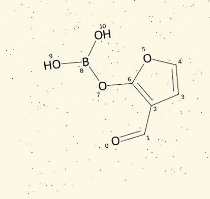 O=Cc1ccoc1OB(O)O